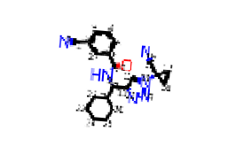 N#Cc1cccc(C(=O)N[C@H](c2cn(C3(C#N)CC3)nn2)C2CCCCC2)c1